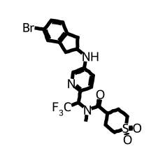 CN(C(=O)C1CCS(=O)(=O)CC1)C(c1ccc(NC2Cc3ccc(Br)cc3C2)cn1)C(F)(F)F